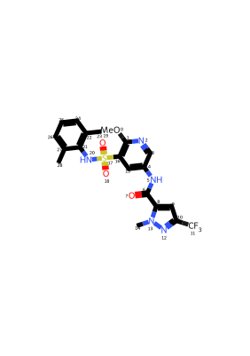 COc1ncc(NC(=O)c2cc(C(F)(F)F)nn2C)cc1S(=O)(=O)Nc1c(C)cccc1C